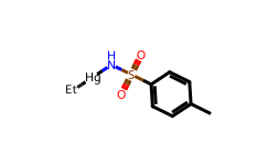 C[CH2][Hg][NH]S(=O)(=O)c1ccc(C)cc1